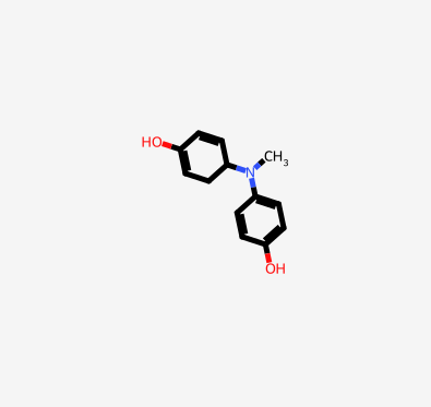 CN(c1ccc(O)cc1)C1C=CC(O)=CC1